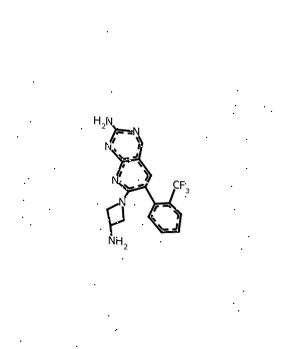 Nc1ncc2cc(-c3ccccc3C(F)(F)F)c(N3CC(N)C3)nc2n1